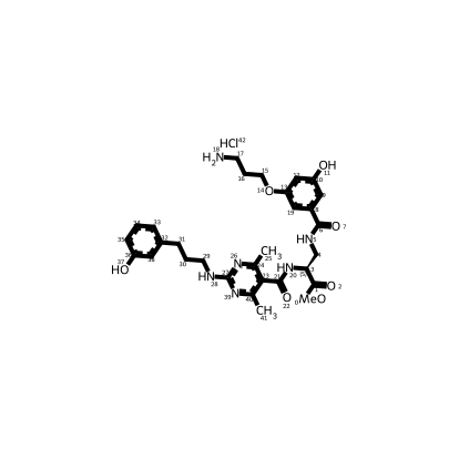 COC(=O)[C@H](CNC(=O)c1cc(O)cc(OCCCN)c1)NC(=O)c1c(C)nc(NCCCc2cccc(O)c2)nc1C.Cl